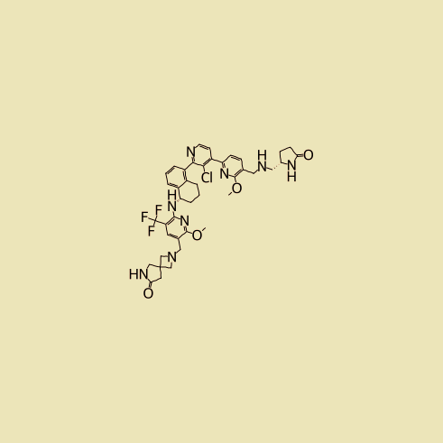 COc1nc(-c2ccnc(-c3cccc4c3CCC[C@@H]4Nc3nc(OC)c(CN4CC5(CNC(=O)C5)C4)cc3C(F)(F)F)c2Cl)ccc1CNC[C@@H]1CCC(=O)N1